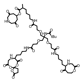 CC(CCCCNC(=O)CCOCC(COCCC(=O)NCCCCC1NCC(=O)OCCC1=O)(COCCC(=O)NCCCCC1NCC(=O)OC2(CCC(=O)O2)OC1=O)NC(=O)C(C)(C)C)C(=O)OC1CC(=O)CNCC(=O)C1